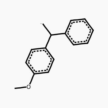 [CH2]C(c1ccccc1)c1ccc(OC)cc1